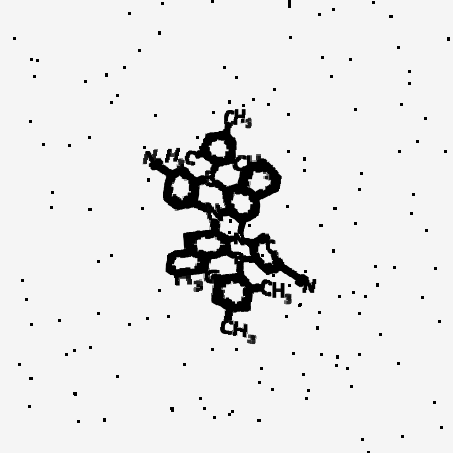 Cc1cc(C)c(B2c3cc(C#N)ccc3N3c4cc5ccccc5c5c4N(c4ccc(C#N)cc4B5c4c(C)cc(C)cc4C)c4cc5ccccc5c2c43)c(C)c1